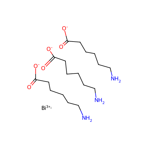 NCCCCCC(=O)[O-].NCCCCCC(=O)[O-].NCCCCCC(=O)[O-].[Bi+3]